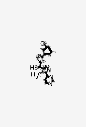 Cn1c(-c2ccncn2)nnc1C(S)c1noc(-c2cccc(Cl)c2)n1